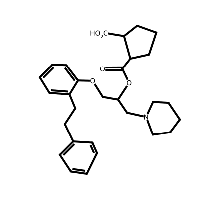 O=C(O)C1CCCC1C(=O)OC(COc1ccccc1CCc1ccccc1)CN1CCCCC1